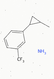 CC1CC1c1cccc(C(F)(F)F)c1.N